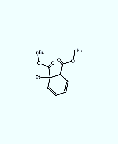 CCCCOC(=O)C1C=CC=CC1(CC)C(=O)OCCCC